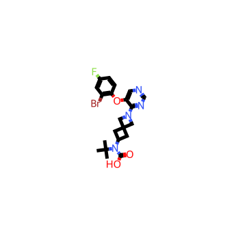 CC(C)(C)N(C(=O)O)C1CC2(C1)CN(c1ncncc1Oc1ccc(F)cc1Br)C2